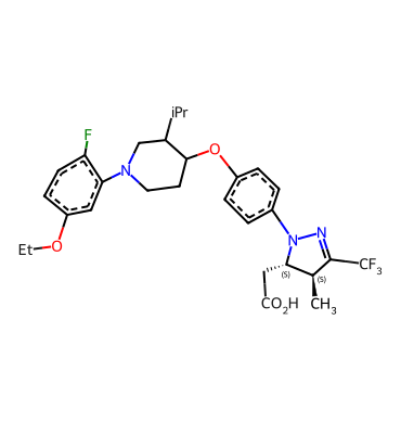 CCOc1ccc(F)c(N2CCC(Oc3ccc(N4N=C(C(F)(F)F)[C@@H](C)[C@@H]4CC(=O)O)cc3)C(C(C)C)C2)c1